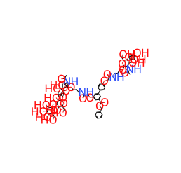 CC(=O)NC1C(OCCCNC(=O)COc2ccc(-c3cc(OCC(=O)NCCCOC(OC(CO)[C@H](C)OC4OC(CO)C(O)C(OC5OC(CO)C(O)C(O)C5O)C4O)[C@H](O)NC(C)=O)cc(C(=O)OCc4ccccc4)c3)cc2)OC(CO)C(O[C@H](O)CO)C1O